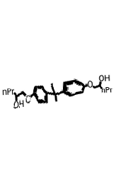 CCCC(O)COc1ccc(C(C)(C)c2ccc(OCC(O)CCC)cc2)cc1